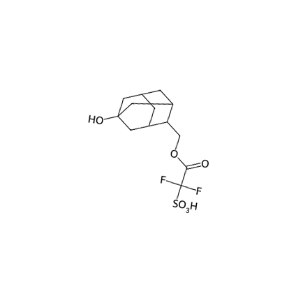 O=C(OCC1C2CC3CC1CC(O)(C3)C2)C(F)(F)S(=O)(=O)O